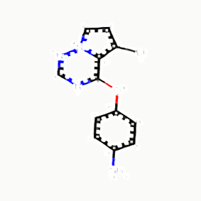 CCc1ccn2ncnc(Oc3ccc(N)cc3)c12